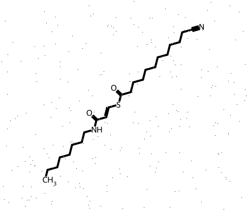 CCCCCCCCNC(=O)C=CSC(=O)CCCCCCCCCCC#N